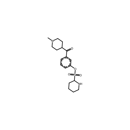 CN1CCC(C(=O)c2cccc(OS(=O)(=O)C3CCCCN3)c2)CC1